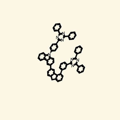 c1ccc(-c2nc(-c3ccccc3)nc(-c3ccc(-n4c5ccccc5c5cc(-c6ccc7c(c6)-c6c(cccc6-c6cccc(-c8nc(-c9ccccc9)nc(-c9ccccc9)n8)c6)C7)ccc54)cc3)n2)cc1